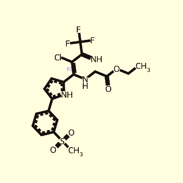 CCOC(=O)CN/C(=C(/Cl)C(=N)C(F)(F)F)c1ccc(-c2cccc(S(C)(=O)=O)c2)[nH]1